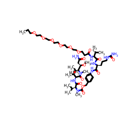 CCCOCCOCCOCCOCCOCCOCCC(=O)N[C@H](C(=O)N[C@@H](CCCNC(N)=O)C(=O)Nc1ccc(COC(=O)N(C)[C@H](C(=O)N[C@H](C(=O)N(C)[C@@H](C(C)C)[C@@H](CC(N)=O)OC)C(C)C)C(C)C)cc1)C(C)C